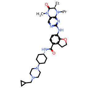 CC[C@@H]1C(=O)N(C)c2cnc(Nc3ccc(C(=O)N[C@H]4CC[C@H](N5CCN(CC6CC6)CC5)CC4)c4c3OCC4)nc2N1C(C)C